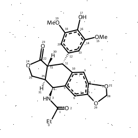 CCC(=O)N[C@@H]1c2cc3c(cc2[C@@H](c2cc(OC)c(O)c(OC)c2)[C@H]2C(=O)OC[C@@H]21)OCO3